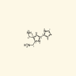 NCc1nc(-c2nccs2)sc1CN